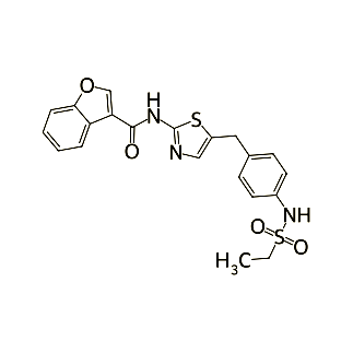 CCS(=O)(=O)Nc1ccc(Cc2cnc(NC(=O)c3coc4ccccc34)s2)cc1